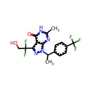 Cc1nc2c(c(C(F)(F)CO)nn2C(C)c2ccc(C(F)(F)F)cc2)c(=O)[nH]1